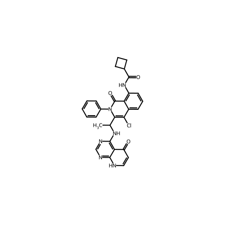 CC(Nc1ncnc2[nH]ccc(=O)c12)c1c(Cl)c2cccc(NC(=O)C3CCC3)c2c(=O)n1-c1ccccc1